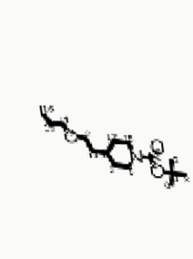 CC(C)(C)OC(=O)N1CCC(CCOCCI)CC1